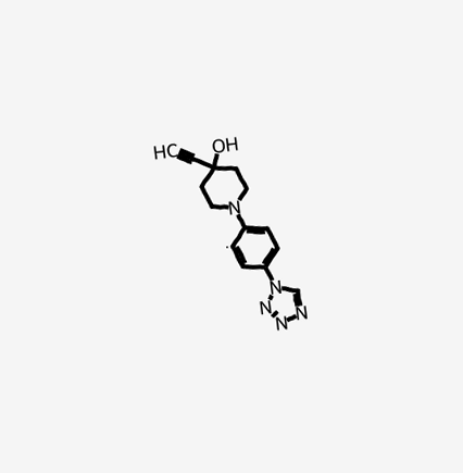 C#CC1(O)CCN(c2[c]cc(-n3cnnn3)cc2)CC1